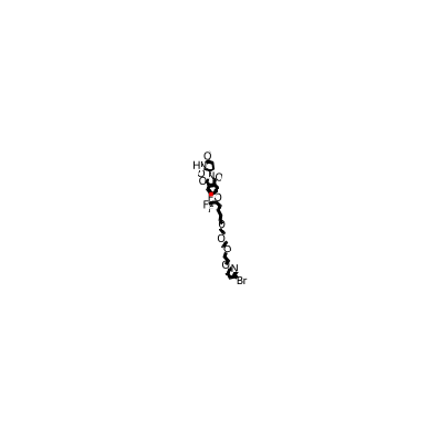 O=C1CCC(N2C(=O)c3ccc(OC(CCCCOCCOCCOCCOc4ccc(Br)cn4)C(F)(F)F)cc3C2=O)C(=O)N1